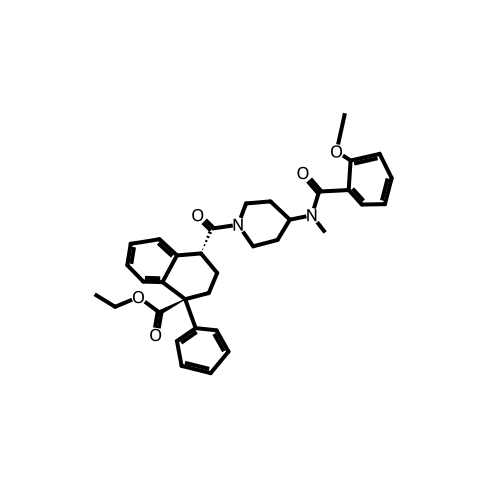 CCOC(=O)[C@]1(c2ccccc2)CC[C@@H](C(=O)N2CCC(N(C)C(=O)c3ccccc3OC)CC2)c2ccccc21